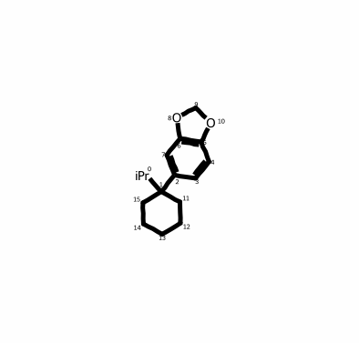 CC(C)C1(c2ccc3c(c2)OCO3)CCCCC1